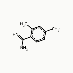 [CH2]c1ccc(C(=N)N)c(C)c1